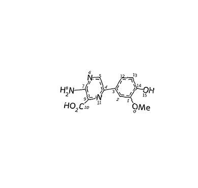 COc1cc(-c2cnc(N)c(C(=O)O)n2)ccc1O